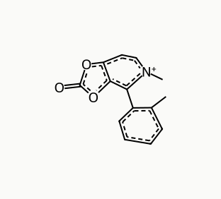 Cc1ccccc1-c1c2oc(=O)oc2cc[n+]1C